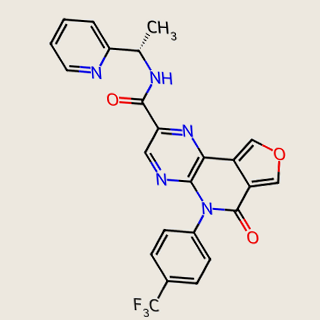 C[C@H](NC(=O)c1cnc2c(n1)c1cocc1c(=O)n2-c1ccc(C(F)(F)F)cc1)c1ccccn1